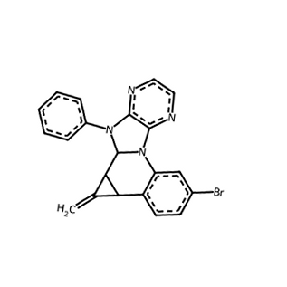 C=C1C2c3ccc(Br)cc3N3c4nccnc4N(c4ccccc4)C3C12